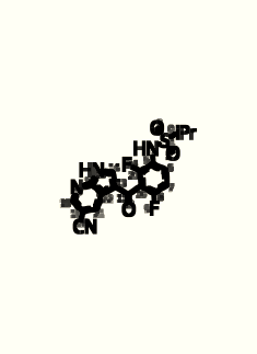 CC(C)S(=O)(=O)Nc1ccc(F)c(C(=O)c2c[nH]c3ncc(C#N)cc23)c1F